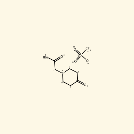 CC(C)(C)C(=O)C[S+]1CCC(=O)CC1.O=S(=O)([O-])C(F)(F)F